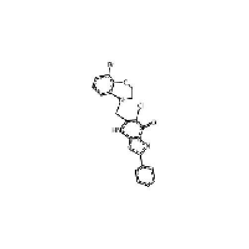 O=c1c(Cl)c(CN2CCOc3c(Br)cccc32)[nH]c2nc(-c3ccccc3)nn12